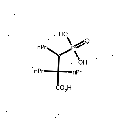 CCCC(C(CCC)(CCC)C(=O)O)P(=O)(O)O